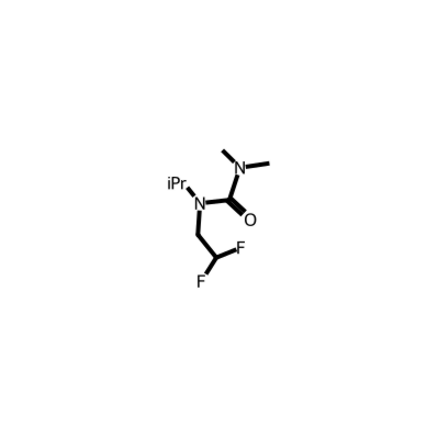 CC(C)N(CC(F)F)C(=O)N(C)C